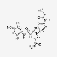 CN(C(=O)CC(C)(C)C)c1ccc2c(c1)nc(NC(=O)Nc1cc(F)c(C#N)cc1F)n2CCC(N)=O